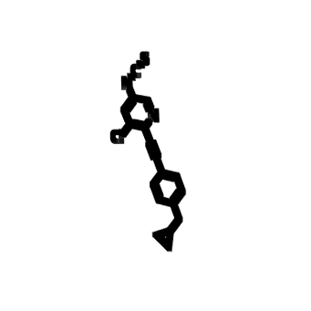 S=C=Nc1cnc(C#Cc2ccc(CC3CC3)cc2)c(Cl)c1